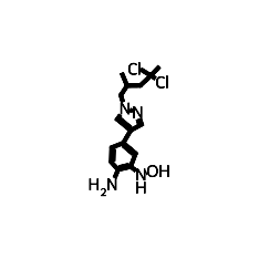 CC(Cn1cc(-c2ccc(N)c(NO)c2)cn1)CC(C)(Cl)Cl